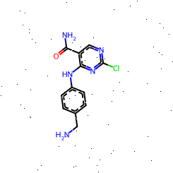 NCc1ccc(Nc2nc(Cl)ncc2C(N)=O)cc1